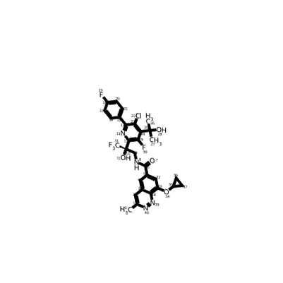 Cc1cc2cc(C(=O)NC[C@](O)(c3nc(-c4ccc(F)cc4)c(Cl)c(C(C)(C)O)c3F)C(F)(F)F)cc(OC3CC3)c2nn1